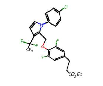 CCOC(=O)CCc1cc(F)c(OCc2c(C(F)(F)C(F)(F)F)ccn2-c2ccc(Cl)cc2)c(F)c1